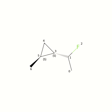 CC(F)[C@H]1C[C@@H]1C